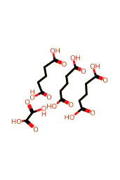 O=C(O)C(=O)O.O=C(O)CCCC(=O)O.O=C(O)CCCC(=O)O.O=C(O)CCCC(=O)O